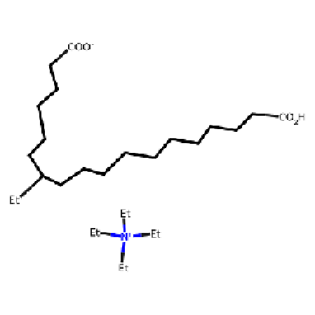 CCC(CCCCCCCCCCC(=O)O)CCCCCC(=O)[O-].CC[N+](CC)(CC)CC